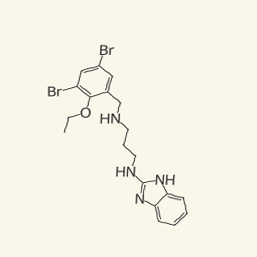 CCOc1c(Br)cc(Br)cc1CNCCCNc1nc2ccccc2[nH]1